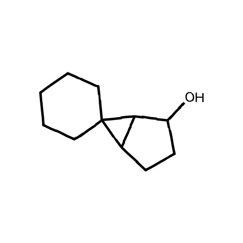 OC1CCC2C1C21CCCCC1